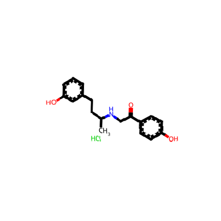 CC(CCc1cccc(O)c1)NCC(=O)c1ccc(O)cc1.Cl